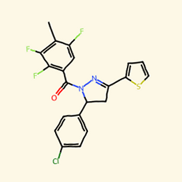 Cc1c(F)cc(C(=O)N2N=C(c3cccs3)CC2c2ccc(Cl)cc2)c(F)c1F